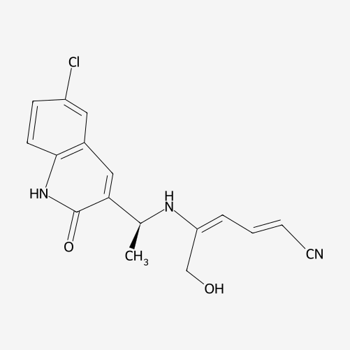 C[C@H](N/C(=C/C=C/C#N)CO)c1cc2cc(Cl)ccc2[nH]c1=O